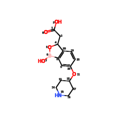 O=C(O)CC1OB(O)c2cc(OC3CCNCC3)ccc21